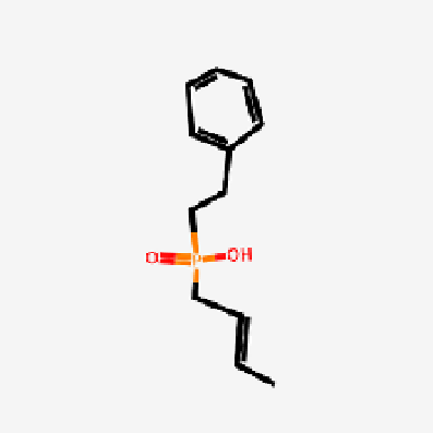 C/C=C/CP(=O)(O)CCc1ccccc1